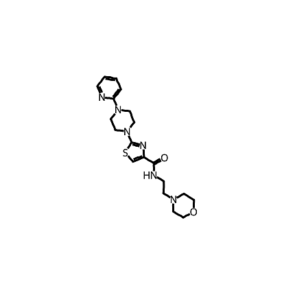 O=C(NCCN1CCOCC1)c1csc(N2CCN(c3ccccn3)CC2)n1